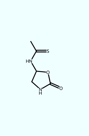 CC(=S)NC1CNC(=O)O1